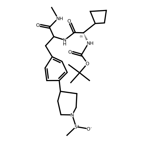 CNC(=O)C(Cc1ccc(C2CCN([S+](C)[O-])CC2)cc1)NC(=O)[C@@H](NC(=O)OC(C)(C)C)C1CCC1